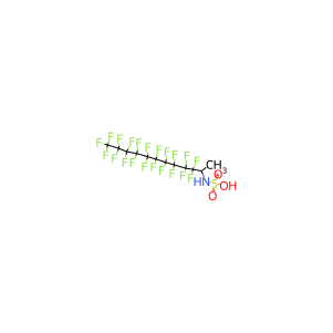 CC(NS(=O)(=O)O)C(F)(F)C(F)(F)C(F)(F)C(F)(F)C(F)(F)C(F)(F)C(F)(F)C(F)(F)C(F)(F)C(F)(F)F